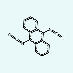 O=C=Nc1c2ccccc2c(N=C=O)c2ccccc12